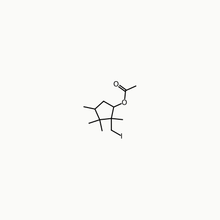 CC(=O)OC1CC(C)C(C)(C)C1(C)CI